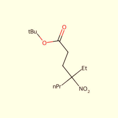 CCCC(CC)(CCC(=O)OC(C)(C)C)[N+](=O)[O-]